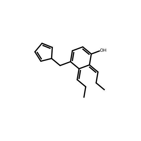 CC/C=c1/c(CC2C=CC=C2)ccc(O)/c1=C/CC